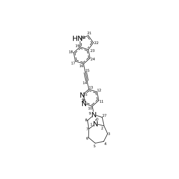 CN1C2CCCCC1CN(c1ccc(C#Cc3ccc4[nH]ccc4c3)nn1)C2